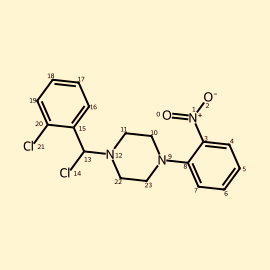 O=[N+]([O-])c1ccccc1N1CCN(C(Cl)c2ccccc2Cl)CC1